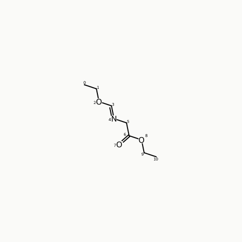 CCOC=NCC(=O)OCC